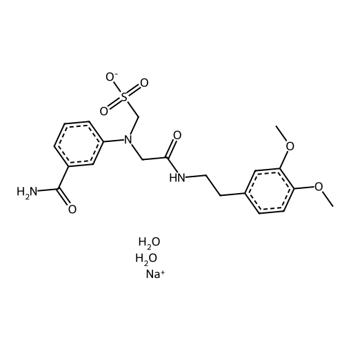 COc1ccc(CCNC(=O)CN(CS(=O)(=O)[O-])c2cccc(C(N)=O)c2)cc1OC.O.O.[Na+]